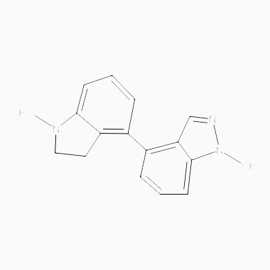 Cn1ncc2c(-c3cccc4c3CCN4[C]=O)cccc21